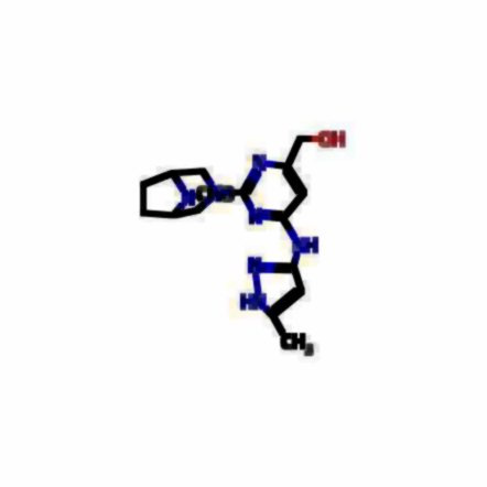 Cc1cc(Nc2cc(CO)nc(N3CC4CCC(C3)N4C=O)n2)n[nH]1